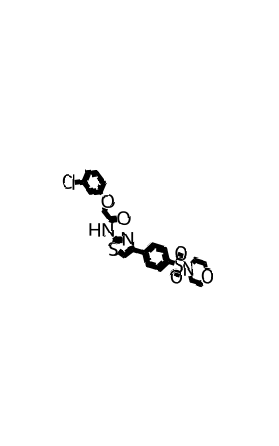 O=C(COc1cccc(Cl)c1)Nc1nc(-c2ccc(S(=O)(=O)N3CCOCC3)cc2)cs1